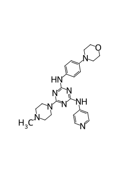 CN1CCN(c2nc(Nc3ccncc3)nc(Nc3ccc(N4CCOCC4)cc3)n2)CC1